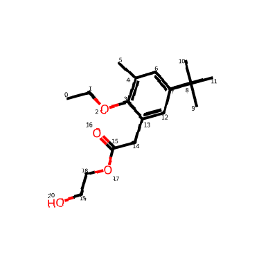 CCOc1c(C)cc(C(C)(C)C)cc1CC(=O)OCCO